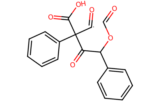 O=[C]C(C(=O)O)(C(=O)C(OC=O)c1ccccc1)c1ccccc1